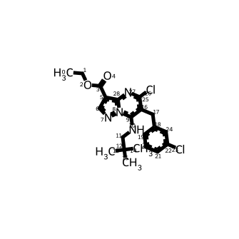 CCOC(=O)c1cnn2c(NCC(C)(C)C)c(Cc3cccc(Cl)c3)c(Cl)nc12